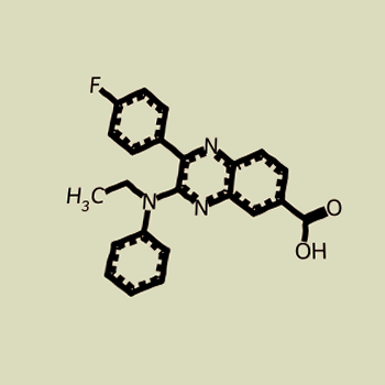 CCN(c1ccccc1)c1nc2cc(C(=O)O)ccc2nc1-c1ccc(F)cc1